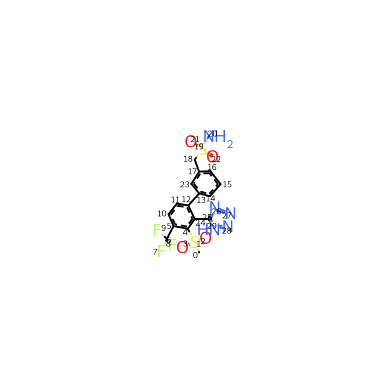 CS(=O)(=O)c1c(C(F)(F)F)ccc(-c2cccc(CS(N)(=O)=O)c2)c1-c1nnn[nH]1